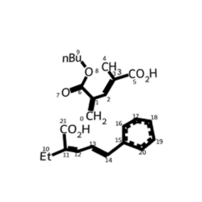 C=C(C=C(C)C(=O)O)C(=O)OCCCC.CCC(=CC=Cc1ccccc1)C(=O)O